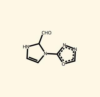 O=CC1NC=CN1c1nnco1